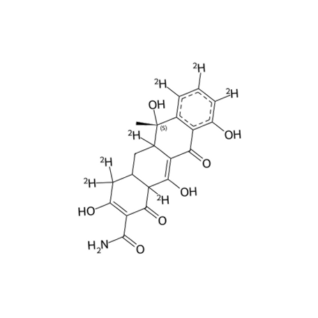 [2H]c1c([2H])c(O)c2c(c1[2H])[C@@](C)(O)C1([2H])CC3C([2H])([2H])C(O)=C(C(N)=O)C(=O)C3([2H])C(O)=C1C2=O